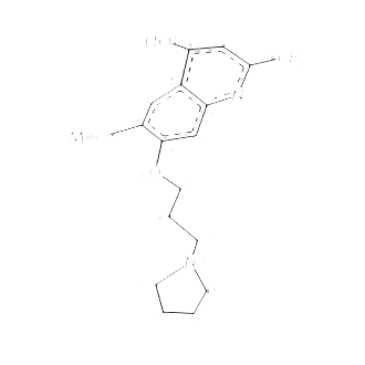 COc1cc2c(O)cc(C(F)(F)F)nc2cc1OCCCN1CCCC1